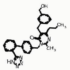 CCCc1nc(C)n(Cc2ccc(-c3ccccc3-c3nnn[nH]3)cc2)c(=O)c1Cc1cccc(CO)c1